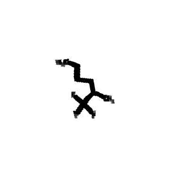 C/C=C/CC(C)C(F)(F)F